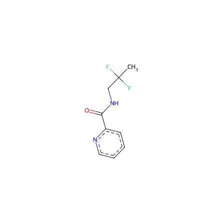 CC(F)(F)CNC(=O)c1ccccn1